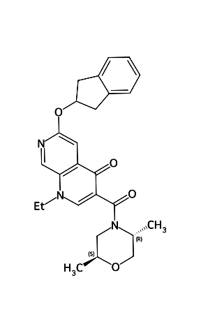 CCn1cc(C(=O)N2C[C@H](C)OC[C@H]2C)c(=O)c2cc(OC3Cc4ccccc4C3)ncc21